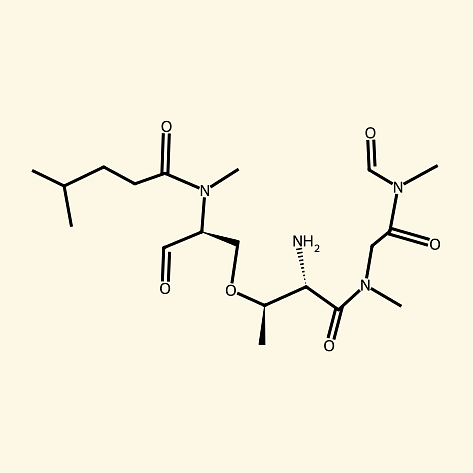 CC(C)CCC(=O)N(C)[C@H](C=O)CO[C@H](C)[C@H](N)C(=O)N(C)CC(=O)N(C)C=O